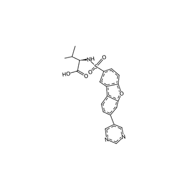 CC(C)[C@@H](NS(=O)(=O)c1ccc2oc3cc(-c4cncnc4)ccc3c2c1)C(=O)O